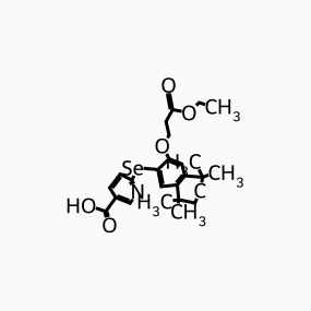 CCOC(=C=O)CCOc1cc2c(cc1[Se]c1ccc(C(=O)O)cn1)C(C)(C)CCC2(C)C